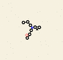 CC1(C)c2ccccc2-c2ccc(N(c3ccc(-c4cccc(-c5ccccc5)c4)cc3)c3ccc(-c4ccc5c(c4)oc4ccccc45)cc3)cc21